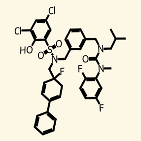 CC(C)CN(Cc1cccc(CN(CC2(F)C=CC(c3ccccc3)=CC2)S(=O)(=O)c2cc(Cl)cc(Cl)c2O)c1)C(=O)N(C)c1cc(F)ccc1F